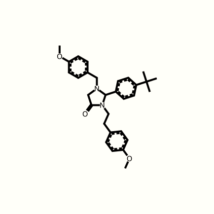 COc1ccc(CCN2C(=O)CN(Cc3ccc(OC)cc3)C2c2ccc(C(C)(C)C)cc2)cc1